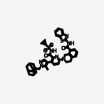 Cc1c(-c2ccc(N3CCc4cccc(C(=O)Nc5nc6ccccc6s5)c4C3)nc2C(=O)NS(=O)(=O)C2CC2)cnn1CC12CC3CC(CC(C3)C1)C2